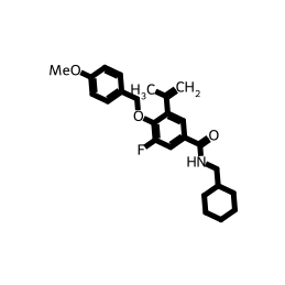 C=C(C)c1cc(C(=O)NCC2CCCCC2)cc(F)c1OCc1ccc(OC)cc1